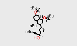 CCCCC#C[C@](C)(O)[C@H]1CC[C@@H]([C@@H]2CC(O[Si](C)(C)C(C)(C)C)[C@H]3CC(O[Si](C)(C)C(C)(C)C)CC[C@]3(C)[C@H]2CCCC)C1